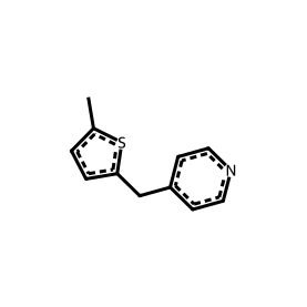 Cc1ccc(Cc2ccncc2)s1